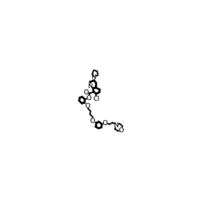 O=C(Oc1ccccc1OCCCCOc1cccc(OCCN2CCOCC2)c1)c1c(Cl)ccc2cc(N3CCCC3)cnc12